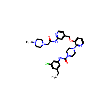 CCc1cc(Cl)cc(NC(=O)N2CCN(c3ncccc3OCc3ccnc(NC(=O)CN4CCN(C)CC4)c3)CC2)c1